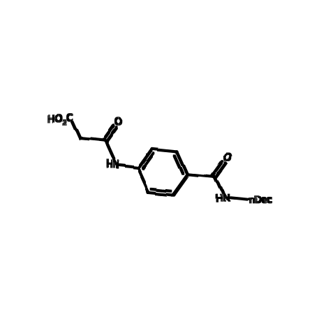 CCCCCCCCCCNC(=O)c1ccc(NC(=O)CC(=O)O)cc1